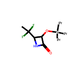 CC(C)[Si](OC1C(=O)NC1C(C)(F)F)(C(C)C)C(C)C